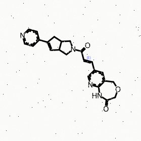 O=C1COCc2cc(/C=C/C(=O)N3CC4C=C(c5ccncc5)CC4C3)cnc2N1